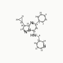 c1ccc(-c2cc(NCc3cccnc3)n3ncc(C4CC4)c3n2)cc1